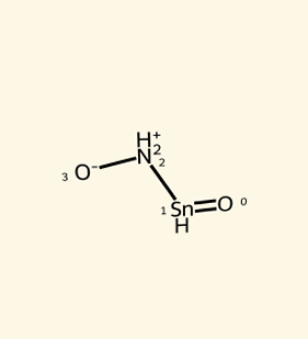 [O]=[SnH][NH2+][O-]